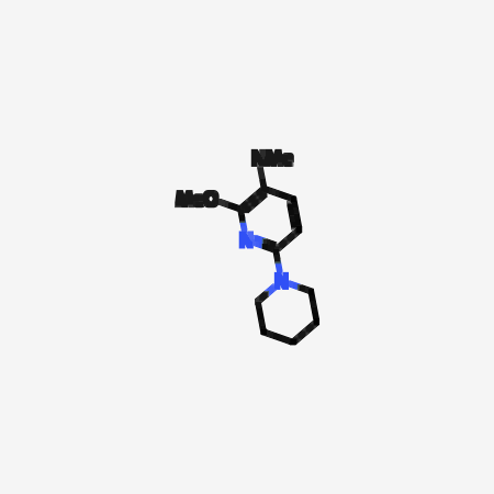 CNc1ccc(N2CCCCC2)nc1OC